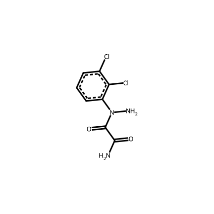 NC(=O)C(=O)N(N)c1cccc(Cl)c1Cl